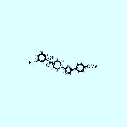 COc1ccc(-c2csc(N3CCN(S(=O)(=O)c4cccc(C(F)(F)F)c4)CC3)n2)cc1